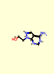 Nc1ncnc2c1cnn2CCO